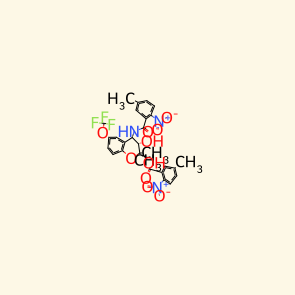 Cc1ccc([N+](=O)[O-])c(C(=O)N[C@@H]2c3cc(OC(F)(F)F)ccc3OC(C)(C)[C@H]2O)c1.Cc1ccc([N+](=O)[O-])c(C(=O)O)c1